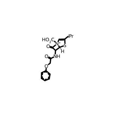 CC(C)C1=C[N+]2(C(=O)O)C(=O)C(NC(=O)COc3ccccc3)[C@@H]2S1